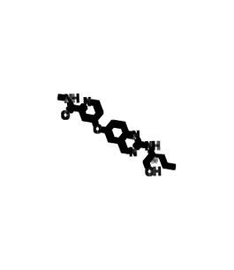 CCC[C@@H](CO)Nc1ncc2cc(Oc3ccnc(C(=O)NC)c3)ccc2n1